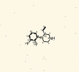 C=C[C@H]1CNCCN1c1cccc(F)c1F